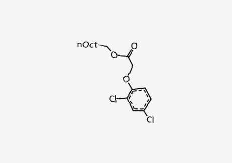 CCCCCCCCCOC(=O)COc1ccc(Cl)cc1Cl